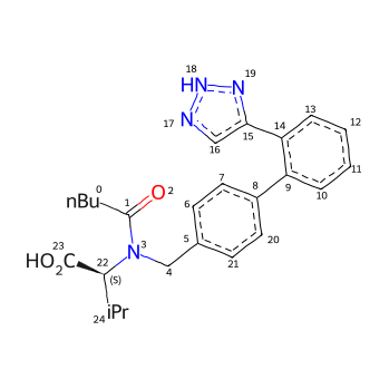 CCCCC(=O)N(Cc1ccc(-c2ccccc2-c2cn[nH]n2)cc1)[C@H](C(=O)O)C(C)C